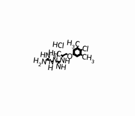 Cc1cc(OCC(C)NC(=N)NNC(=N)N)cc(C)c1Cl.Cl